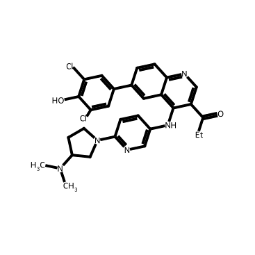 CCC(=O)c1cnc2ccc(-c3cc(Cl)c(O)c(Cl)c3)cc2c1Nc1ccc(N2CCC(N(C)C)C2)nc1